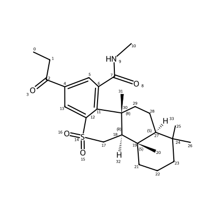 CCC(=O)c1cc(C(=O)NC)c2c(c1)S(=O)(=O)C[C@@H]1[C@@]3(C)CCCC(C)(C)[C@@H]3CC[C@@]21C